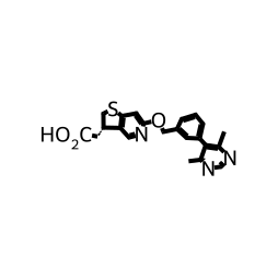 Cc1ncnc(C)c1-c1cccc(COc2cc3c(cn2)[C@H](CC(=O)O)CS3)c1